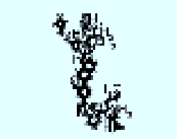 C=C(/C=C\C=C/C)[C@@H](NC(=O)C1CC1)C(=O)N1CCC[C@H]1c1ncc(-c2ccc3c(c2)COc2cc4c(ccc5nc([C@@H]6C[C@H](COCC7CCC7)CN6C(=O)[C@@H](NC(=O)OC)C(C)C)[nH]c54)cc2-3)[nH]1